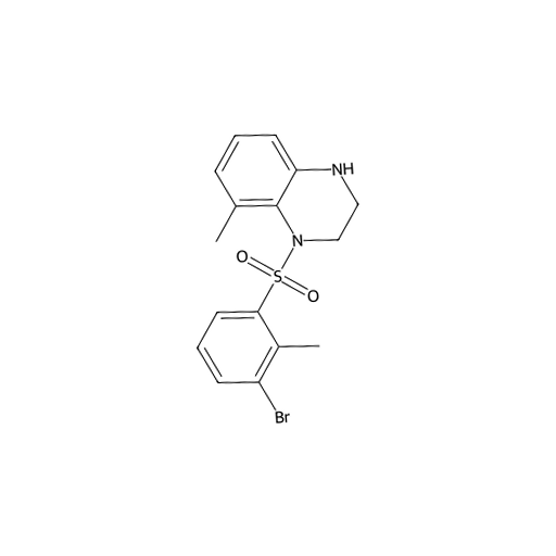 Cc1cccc2c1N(S(=O)(=O)c1cccc(Br)c1C)CCN2